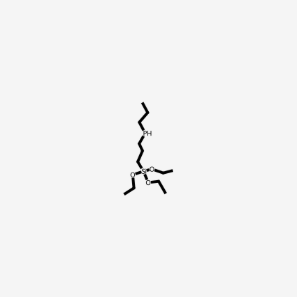 CCCPCCC[Si](OCC)(OCC)OCC